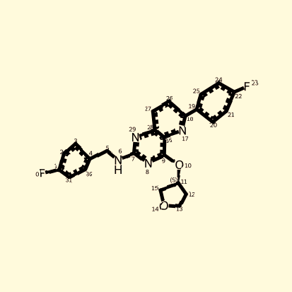 Fc1ccc(CNc2nc(O[C@H]3CCOC3)c3nc(-c4ccc(F)cc4)ccc3n2)cc1